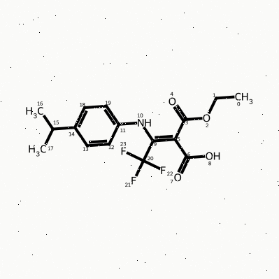 CCOC(=O)C(C(=O)O)=C(Nc1ccc(C(C)C)cc1)C(F)(F)F